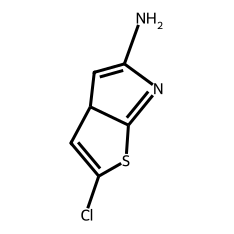 NC1=CC2C=C(Cl)SC2=N1